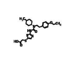 CCOc1ccc(CCN(C(=O)Nc2ncc(SCC(=O)O)s2)[C@H]2CC[C@H](C)CC2)cc1